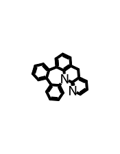 c1cnc2c(c1)Cc1cccc3c1N2c1ccccc1-c1ccccc1-3